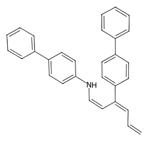 C=C/C=C(\C=C/Nc1ccc(-c2ccccc2)cc1)c1ccc(-c2ccccc2)cc1